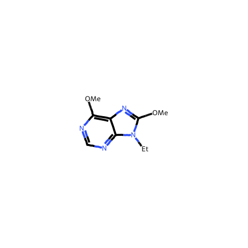 CCn1c(OC)nc2c(OC)ncnc21